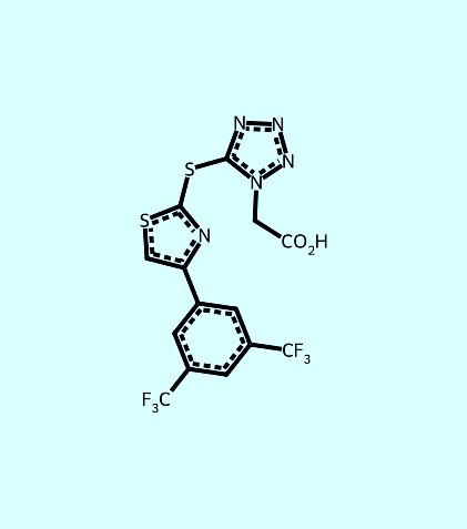 O=C(O)Cn1nnnc1Sc1nc(-c2cc(C(F)(F)F)cc(C(F)(F)F)c2)cs1